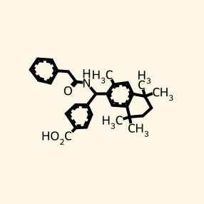 Cc1cc2c(cc1C(NC(=O)Cc1ccccc1)c1ccc(C(=O)O)cc1)C(C)(C)CCC2(C)C